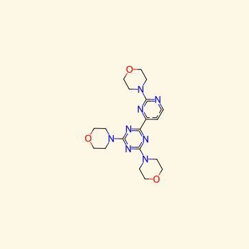 c1cc(-c2nc(N3CCOCC3)nc(N3CCOCC3)n2)nc(N2CCOCC2)n1